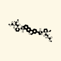 CC[C@H]1CC[C@@H](c2ncc(-c3ccc4c(c3)COc3cc5c(ccc6nc([C@@H]7CC[C@H](C)N7C(=O)[C@@H](NC(=O)OC)[C@@H](C)OC)[nH]c65)cc3-4)[nH]2)N1C(=O)[C@H](C)NC(=O)OC